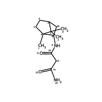 CC1(C)C2CCC1(C)C(NC(=O)CC(N)=O)C2